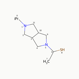 CC(C)N1CC2CN(C(C)S)CC2C1